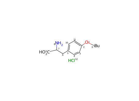 CCC(C)Oc1ccc(CC(N)C(=O)O)cc1.Cl